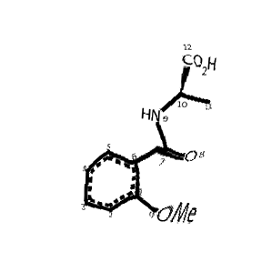 COc1ccccc1C(=O)N[C@H](C)C(=O)O